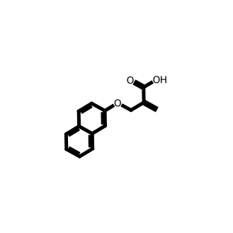 C=C(COc1ccc2ccccc2c1)C(=O)O